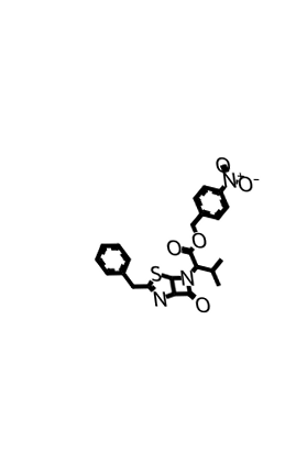 CC(C)C(C(=O)OCc1ccc([N+](=O)[O-])cc1)N1C(=O)C2N=C(Cc3ccccc3)SC21